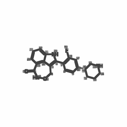 O=C1NOCc2c(-c3ccc([C@H]4CCCNC4)cc3F)[nH]c3cccc1c23